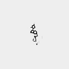 CCC(=O)N[C@H]1CCCN(C(=O)C(C)Oc2ccc3c(-c4ccc(F)cc4Cl)cc(=O)oc3c2)C1